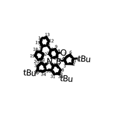 CC(C)(C)c1ccc2c(c1)Oc1cc(-c3ccccc3-c3ccccc3)cc3c1B2c1cc(C(C)(C)C)cc2c4cc(C(C)(C)C)ccc4n-3c12